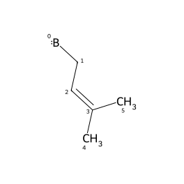 [B]CC=C(C)C